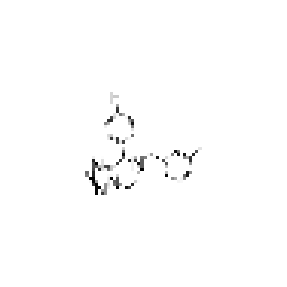 Cc1cccc(CN2CCn3nnnc3C2c2ccc(F)cc2)c1